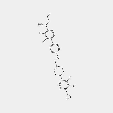 CCCC(O)c1ccc(-c2ccc(OCC3CCC(c4ccc(C5CO5)c(F)c4F)CC3)cc2)c(F)c1F